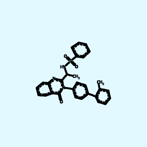 Cc1ccccc1-c1ccc(-n2c(C(C)NS(=O)(=O)c3ccccc3)nc3ccccc3c2=O)cc1